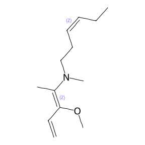 C=C/C(OC)=C(\C)N(C)CC/C=C\CC